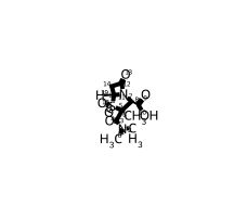 CN(C)C(=O)[C@@]1(C)[C@H](C(=O)O)N2C(=O)C[C@H]2S1(=O)=O